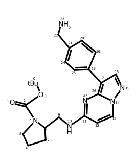 CC(C)(C)OC(=O)N1CCCC1CNc1ccn2ncc(-c3ccc(CN)cc3)c2n1